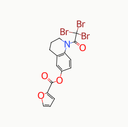 O=C(Oc1ccc2c(c1)CCCN2C(=O)C(Br)(Br)Br)c1ccco1